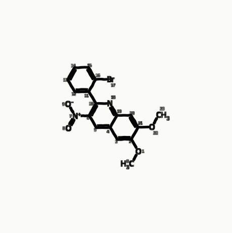 COc1cc2cc([N+](=O)[O-])c(-c3ccccc3Br)nc2cc1OC